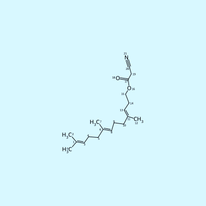 CC(C)=CCC/C(C)=C/CCC(C)=CCCOC(=O)CC#N